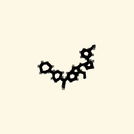 CCn1c(Cc2ccnn2-c2cccc(Cl)c2)nc2cc(C(=O)N3CCN(C4CCCCCC4)CC3)ccc21